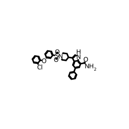 NC(=O)c1cc(-c2ccccc2)cc2c(C3CCN(S(=O)(=O)c4cccc(Oc5ccccc5Cl)c4)CC3)c[nH]c12